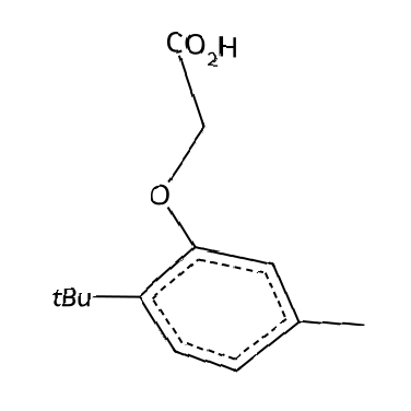 Cc1ccc(C(C)(C)C)c(OCC(=O)O)c1